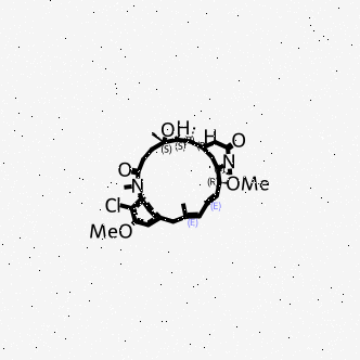 COc1cc2cc(c1Cl)N(C)C(=O)CC[C@]1(C)O[C@H]1[C@H](C)[C@H]1CC(=O)N3C[C@@]3(C1)[C@H](OC)/C=C/C=C(\C)C2